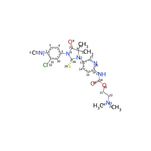 [C-]#[N+]c1ccc(N2C(=O)C(C)(C)N(c3ccc(NC(=O)OCCN(C)C)nc3)C2=S)cc1Cl